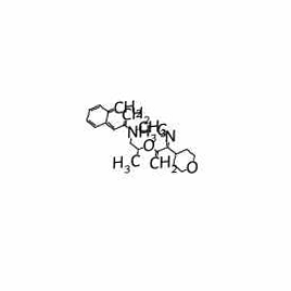 C=C(O[C@@H](C)CN(C)C(=C)/C=c1/ccccc1=C)/C(=N\C)C1CCOCC1